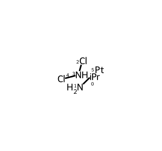 CC(C)N.ClNCl.[Pt]